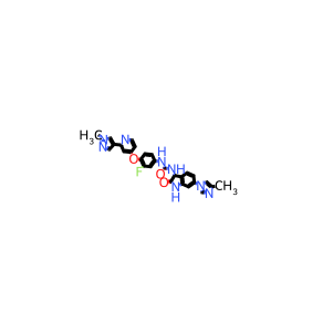 Cc1cn(-c2ccc3c(c2)NC(=O)C3NC(=O)Nc2ccc(Oc3ccnc(-c4cnn(C)c4)c3)c(F)c2)cn1